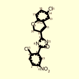 O=[N+]([O-])c1ccc(Cl)c(-c2nc(C3=Cc4cc(Cl)ccc4OC3)no2)c1